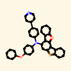 c1ccc(Oc2ccc(N(c3ccc(-c4ccncc4)cc3)c3cc4sc5ccccc5c4c4oc5ccccc5c34)cc2)cc1